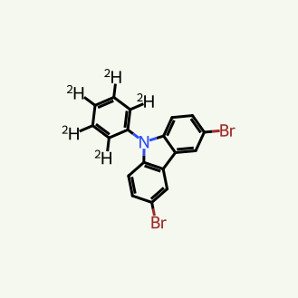 [2H]c1c([2H])c([2H])c(-n2c3ccc(Br)cc3c3cc(Br)ccc32)c([2H])c1[2H]